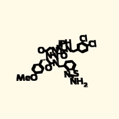 COc1ccc(C[C@H]2C(=O)N(Cc3cccc4sc(N)nc34)C[C@H]3N2C(=O)CN3N(C(=O)NCc2ccc(Cl)c(Cl)c2)C(C)C)cc1